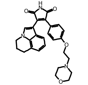 O=C1NC(=O)C(c2cn3c4c(cccc24)CCC3)=C1c1ccc(OCCN2CCOCC2)cc1